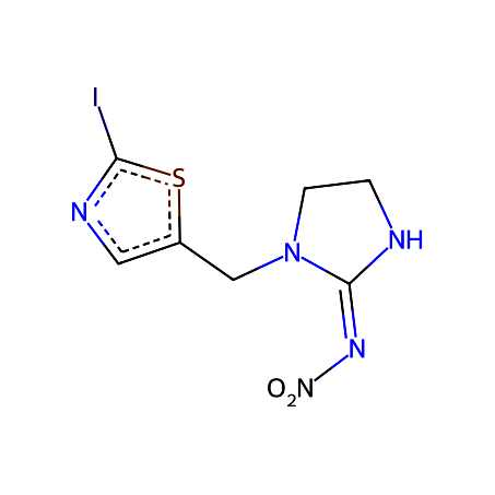 O=[N+]([O-])N=C1NCCN1Cc1cnc(I)s1